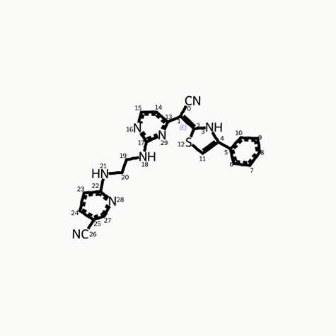 N#C/C(=C1\NC(c2ccccc2)=CS1)c1ccnc(NCCNc2ccc(C#N)cn2)n1